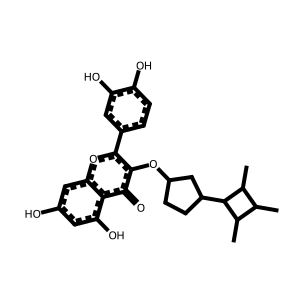 CC1C(C)C(C2CCC(Oc3c(-c4ccc(O)c(O)c4)oc4cc(O)cc(O)c4c3=O)C2)C1C